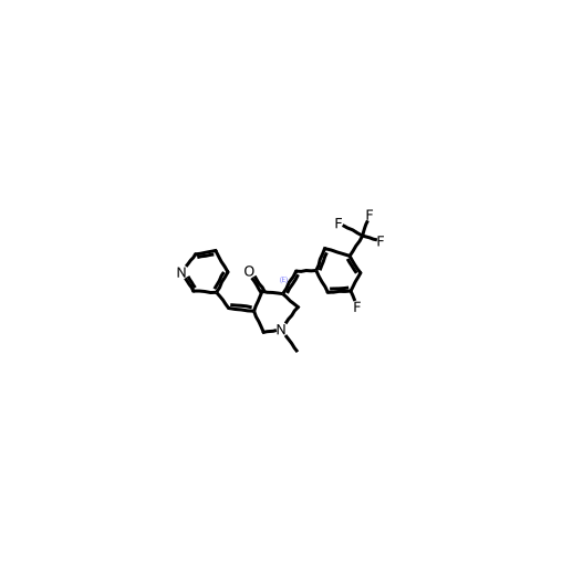 CN1CC(=Cc2cccnc2)C(=O)/C(=C/c2cc(F)cc(C(F)(F)F)c2)C1